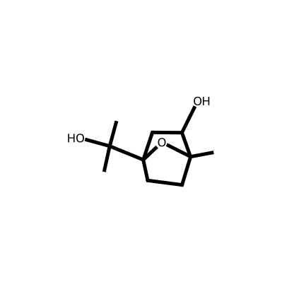 CC12CCC(C(C)(C)O)(CC1O)O2